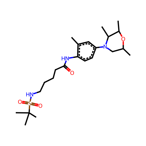 Cc1cc(N2CC(C)OC(C)C2C)ccc1NC(=O)CCCCNS(=O)(=O)C(C)(C)C